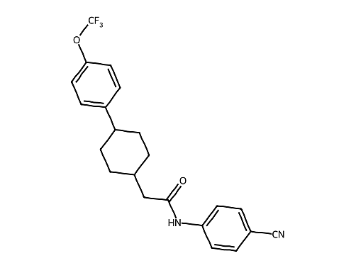 N#Cc1ccc(NC(=O)CC2CCC(c3ccc(OC(F)(F)F)cc3)CC2)cc1